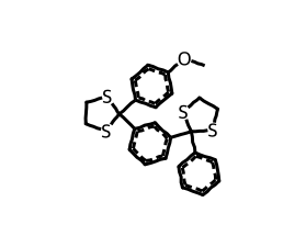 COc1ccc(C2(c3cccc(C4(c5ccccc5)SCCS4)c3)SCCS2)cc1